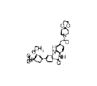 COc1cc(-c2ccc3c(c2)Nc2cc(CC(=O)N4CCC5(CC4)OCCO5)ccc2NC3=O)ccc1[N+](=O)[O-]